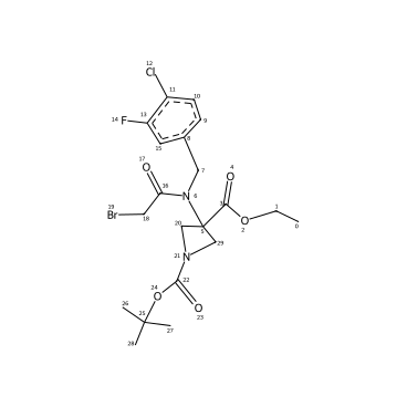 CCOC(=O)C1(N(Cc2ccc(Cl)c(F)c2)C(=O)CBr)CN(C(=O)OC(C)(C)C)C1